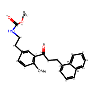 COc1ccc(CCNC(=O)OC(C)(C)C)cc1C(=O)CCc1cccc2ccccc12